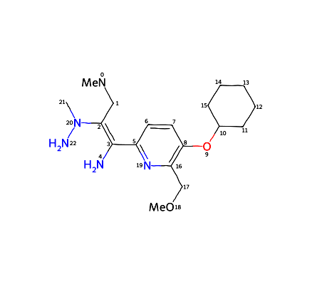 CNC/C(=C(/N)c1ccc(OC2CCCCC2)c(COC)n1)N(C)N